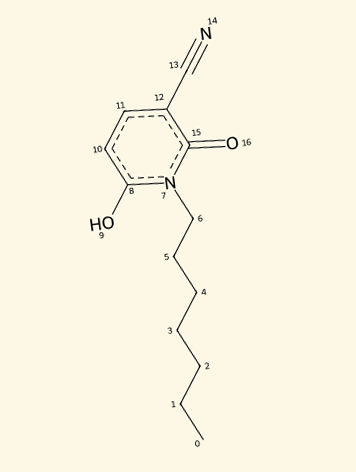 CCCCCCCn1c(O)ccc(C#N)c1=O